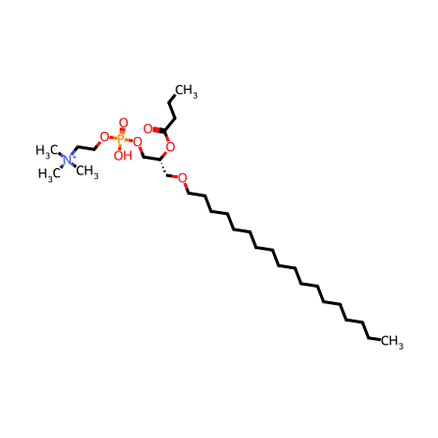 CCCCCCCCCCCCCCCCCCOC[C@H](COP(=O)(O)OCC[N+](C)(C)C)OC(=O)CCC